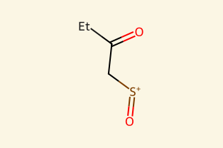 CCC(=O)C[S+]=O